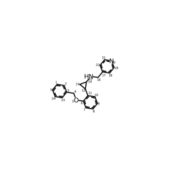 c1ccc(COc2ccccc2C2CC2NCc2ccncc2)cc1